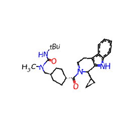 CN(C[C@H]1CC[C@H](C(=O)N2CCc3c([nH]c4ccccc34)C2C2CC2)CC1)C(=O)NC(C)(C)C